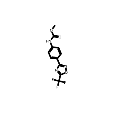 COC(=O)Nc1ccc(-c2noc(C(F)(F)F)n2)cc1